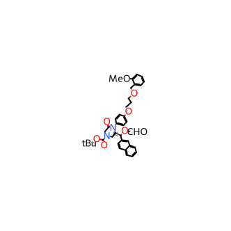 COc1ccccc1COCCCOc1ccc(N2C(=O)CN(C(=O)OC(C)(C)C)C[C@@H]2C(OC=O)c2ccc3ccccc3c2)cc1